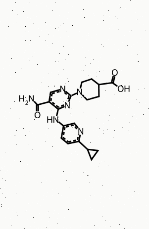 NC(=O)c1cnc(N2CCC(C(=O)O)CC2)nc1Nc1ccc(C2CC2)nc1